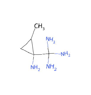 CC1CC1(N)C(N)(N)N